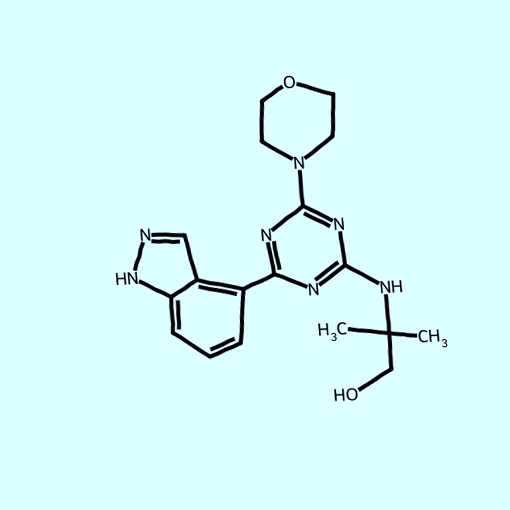 CC(C)(CO)Nc1nc(-c2cccc3[nH]ncc23)nc(N2CCOCC2)n1